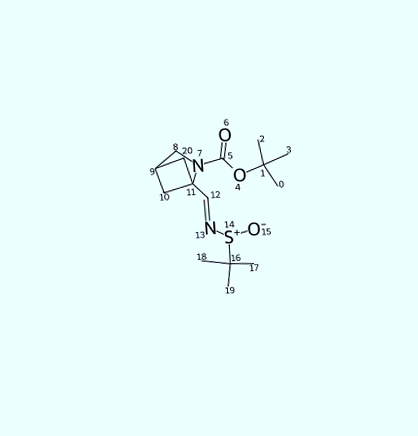 CC(C)(C)OC(=O)N1CC2CC1(/C=N/[S+]([O-])C(C)(C)C)C2